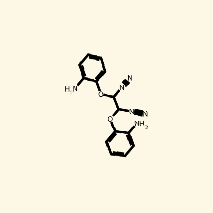 N#[N+]C(Oc1ccccc1N)C([N+]#N)Oc1ccccc1N